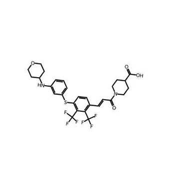 O=C(O)C1CCN(C(=O)/C=C/c2ccc(Sc3cccc(NC4CCOCC4)c3)c(C(F)(F)F)c2C(F)(F)F)CC1